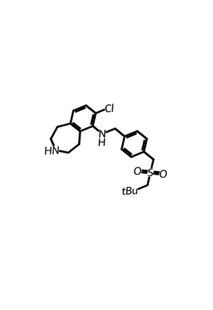 CC(C)(C)CS(=O)(=O)Cc1ccc(CNc2c(Cl)ccc3c2CCNCC3)cc1